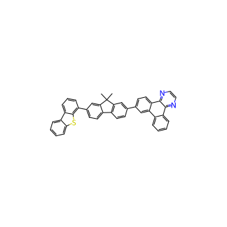 CC1(C)c2cc(-c3ccc4c(c3)c3ccccc3c3nccnc43)ccc2-c2ccc(-c3cccc4c3sc3ccccc34)cc21